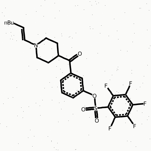 CCCCC=CN1CCC(C(=O)c2cccc(OS(=O)(=O)c3c(F)c(F)c(F)c(F)c3F)c2)CC1